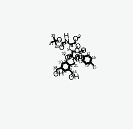 COC(=O)[C@H](C[C@@H](OS(=O)(=O)c1ccc(C)cc1)C(=O)NCc1c(CO)cc(CO)cc1OC)NC(=O)OC(C)(C)C